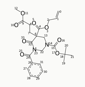 C=CCOC(=O)C1(CCC(=O)OC)CN(C(=O)OC(C)(C)C)CN(C(=O)c2ccccc2)C1=O